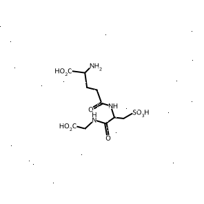 NC(CCC(=O)NC(CS(=O)(=O)O)C(=O)NCC(=O)O)C(=O)O